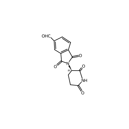 O=Cc1ccc2c(c1)C(=O)N([C@@H]1CCC(=O)NC1=O)C2=O